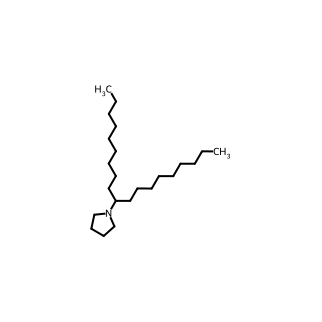 CCCCCCCCCC(CCCCCCCCC)N1CCCC1